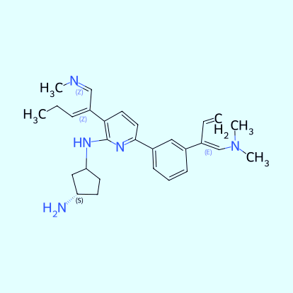 C=C/C(=C\N(C)C)c1cccc(-c2ccc(C(/C=N\C)=C/CC)c(NC3CC[C@H](N)C3)n2)c1